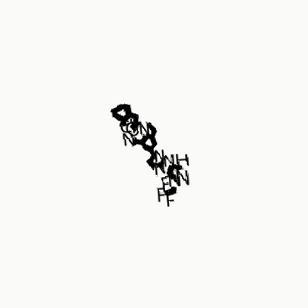 N#Cc1cc(-c2ccnc(Nc3cnn(CC(F)(F)F)c3)n2)cc2c1N(C(=O)Cc1ccccc1Cl)CC2